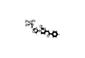 CC(C)[Si](OC[C@H]1OC[C@@H](n2ccc(CC(=O)c3ccccc3)nc2=O)S1)(C(C)C)C(C)C